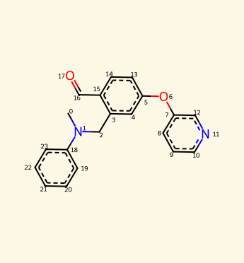 CN(Cc1cc(Oc2cccnc2)ccc1C=O)c1ccccc1